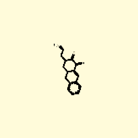 C=CCC1CC2Cc3ccccc3C=C2C(=O)C1=O